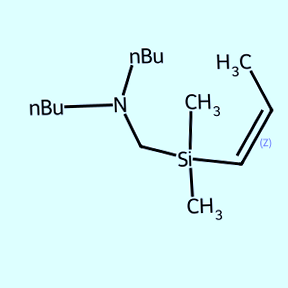 C/C=C\[Si](C)(C)CN(CCCC)CCCC